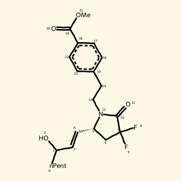 CCCCCC(O)C=C[C@H]1CC(F)(F)C(=O)N1CCc1ccc(C(=O)OC)cc1